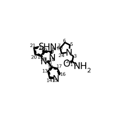 NC(=O)CN1CC[C@@H](Nc2nc(-c3ccncc3)nc3ccsc23)C1